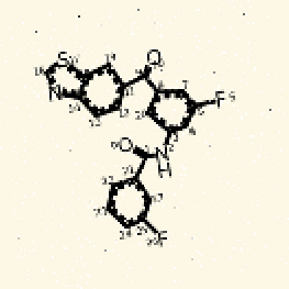 O=C(Nc1cc(F)cc(C(=O)c2ccc3ncsc3c2)c1)c1cccc(F)c1